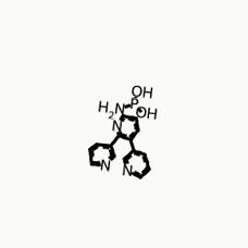 NP(O)O.c1cncc(-c2cccnc2-c2cccnc2)c1